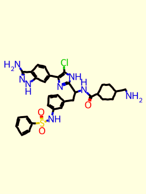 NCC1CCC(C(=O)NC(Cc2cccc(NS(=O)(=O)c3ccccc3)c2)c2nc(-c3ccc4c(N)n[nH]c4c3)c(Cl)[nH]2)CC1